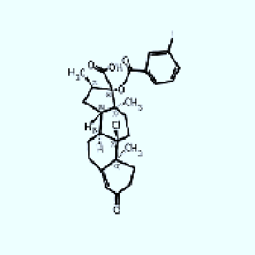 C[C@@H]1C[C@H]2[C@@H]3CCC4=CC(=O)CC[C@]4(C)[C@@]3(Cl)CC[C@]2(C)[C@@]1(OC(=O)c1cccc(I)c1)C(=O)O